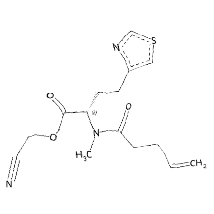 C=CCCC(=O)N(C)[C@@H](CCc1cscn1)C(=O)OCC#N